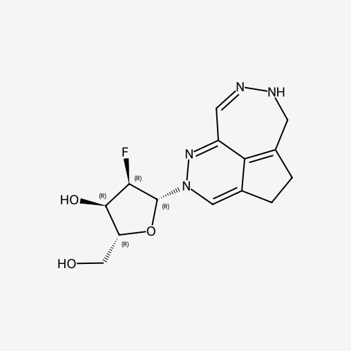 OC[C@H]1O[C@@H](N2C=C3CCC4=C3C(=N2)C=NNC4)[C@H](F)[C@@H]1O